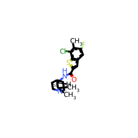 Cc1c(F)cc2cc(C(=O)N[C@H]3C4CCN(CC4)C3(C)C)sc2c1Cl